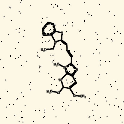 CCN1C(=CC=Cc2sc3c([n+]2C)[Te]C(OC)C(OC)=C3)Sc2ccccc21.[I-]